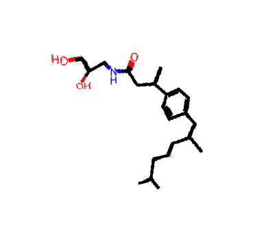 CC(C)CCCC(C)Cc1ccc(C(C)CC(=O)NCC(O)CO)cc1